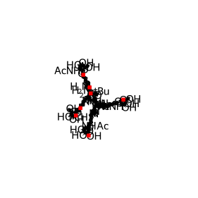 CC(=O)N[C@H]1[C@H](OCCCCCN(N)/C=C(\N)CN(C/C(=C/NCCCCCO[C@@H]2O[C@H](CO)[C@H](O)[C@H](O)[C@H]2C)N=N)[C@@H](CCCCN(Cc2cn(CCCCCO[C@@H]3O[C@H](CO)[C@H](O)[C@H](O)[C@H]3NC(C)=O)nn2)Cc2cn(CCCCCO[C@@H]3O[C@H](CO)[C@H](O)[C@H](O)[C@H]3NC(C)=O)nn2)C(=O)C(C)(C)C)O[C@H](CO)[C@H](O)[C@@H]1O